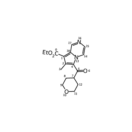 CCOC(=O)c1c(C)c(C(=O)C2CCOCC2)n2ccncc12